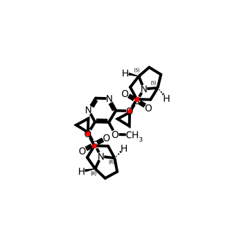 COc1c(OC2C[C@H]3CC[C@H](C2)N3S(=O)(=O)C2CC2)ncnc1OC1C[C@@H]2CC[C@@H](C1)N2S(=O)(=O)C1CC1